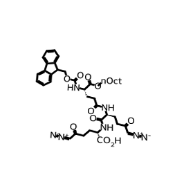 CCCCCCCCOC(=O)[C@H](CCC(=O)N[C@@H](CCC(=O)C=[N+]=[N-])C(=O)N[C@@H](CCC(=O)C=[N+]=[N-])C(=O)O)NC(=O)OCC1c2ccccc2-c2ccccc21